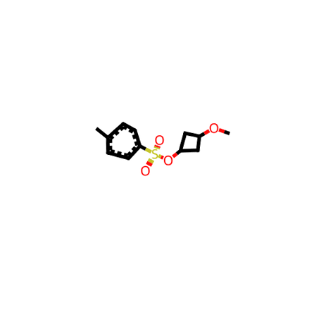 COC1CC(OS(=O)(=O)c2ccc(C)cc2)C1